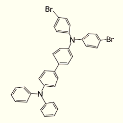 Brc1ccc(N(c2ccc(Br)cc2)c2ccc(-c3ccc(N(c4ccccc4)c4ccccc4)cc3)cc2)cc1